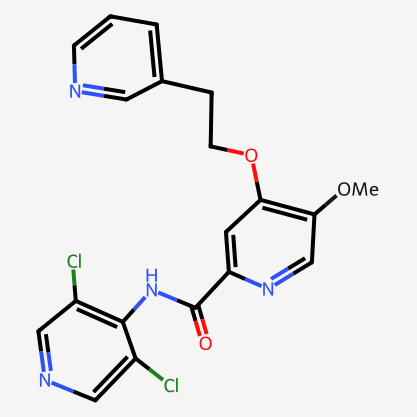 COc1cnc(C(=O)Nc2c(Cl)cncc2Cl)cc1OCCc1cccnc1